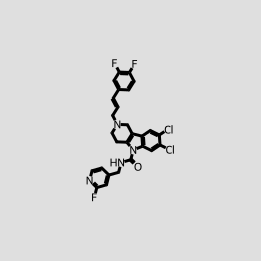 O=C(NCc1ccnc(F)c1)n1c2c(c3cc(Cl)c(Cl)cc31)CN(CC=Cc1ccc(F)c(F)c1)CC2